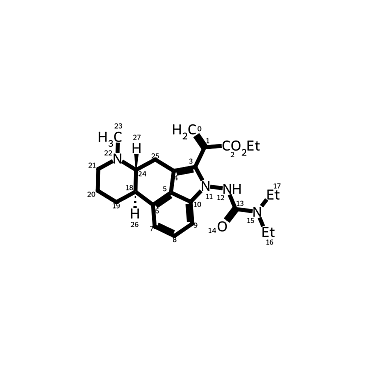 C=C(C(=O)OCC)c1c2c3c(cccc3n1NC(=O)N(CC)CC)[C@H]1CCCN(C)[C@@H]1C2